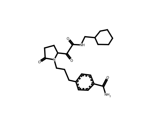 NC(=O)c1ccc(CCCN2C(=O)CCC2C(=O)C(=O)NCC2CCCCC2)cc1